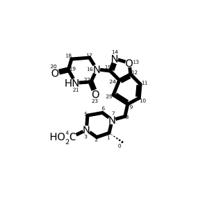 C[C@@H]1CN(C(=O)O)CCN1Cc1ccc2onc(N3CCC(=O)NC3=O)c2c1